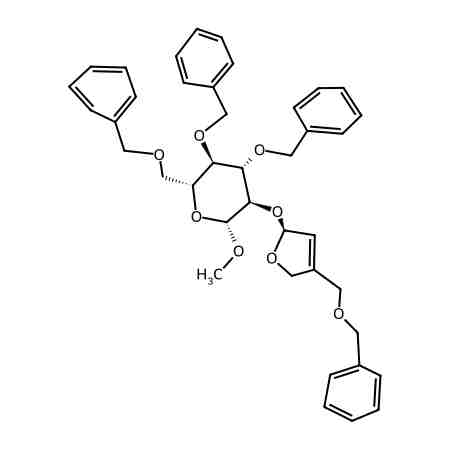 CO[C@@H]1O[C@H](COCc2ccccc2)[C@@H](OCc2ccccc2)[C@H](OCc2ccccc2)[C@H]1O[C@H]1C=C(COCc2ccccc2)CO1